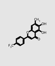 Cc1cc2oc(-c3ccc(C(F)(F)F)cc3)cc(=O)c2c(O)c1O